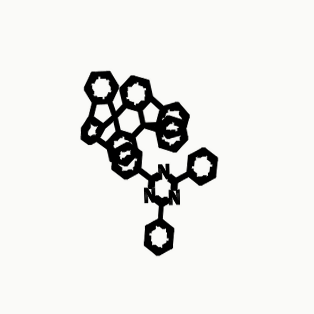 c1ccc(-c2nc(-c3ccccc3)nc(-c3ccc(-c4cccc5c4C4(c6ccccc6-5)c5ccccc5C5(c6ccccc6)c6ccccc6-c6cccc4c65)cc3)n2)cc1